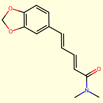 CN(C)C(=O)C=CC=Cc1ccc2c(c1)OCO2